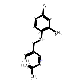 C=C(C)/C=C\C(=C/C)CNc1ccc(CC)cc1C